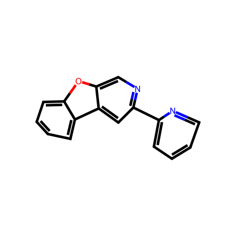 c1ccc(-c2cc3c(cn2)oc2ccccc23)nc1